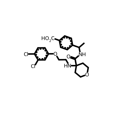 CC(NC(=O)C1(NCCOc2ccc(Cl)c(Cl)c2)CCOCC1)c1ccc(C(=O)O)cc1